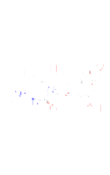 CS(=O)(=O)O[C@@H]1[C@@H](O)[C@H](n2cc(F)c(N)nc2=O)O[C@@H]1CO